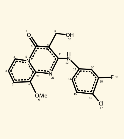 COc1cccn2c(=O)c(CO)c(Nc3ccc(Cl)c(F)c3)nc12